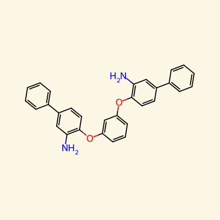 Nc1cc(-c2ccccc2)ccc1Oc1cccc(Oc2ccc(-c3ccccc3)cc2N)c1